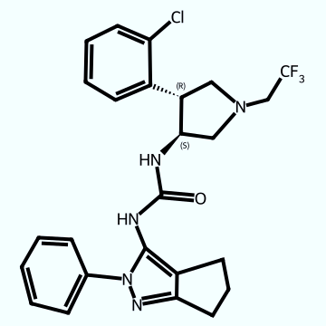 O=C(Nc1c2c(nn1-c1ccccc1)CCC2)N[C@@H]1CN(CC(F)(F)F)C[C@H]1c1ccccc1Cl